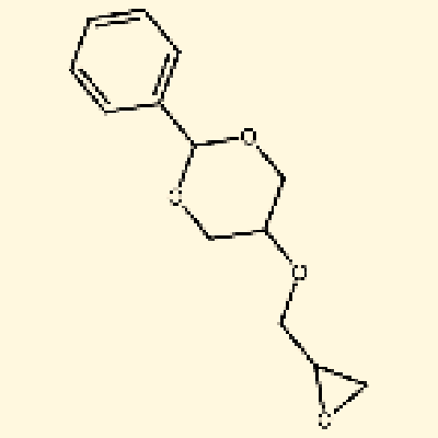 c1ccc(C2OCC(OCC3CO3)CO2)cc1